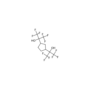 OC(C1CCC(C(O)(C(F)(F)F)C(F)(F)F)C1)(C(F)(F)F)C(F)(F)F